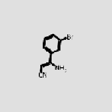 N#CC=C(N)c1cccc(Br)c1